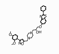 COc1ccc(-c2cc(CN3CCN(C[C@H](O)COc4ccc5sc(-c6ccccc6)nc5c4)CC3)on2)c(OC)c1